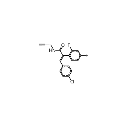 C#CCNC(=O)/C(=C/c1ccc(Cl)cc1)c1ccc(F)cc1F